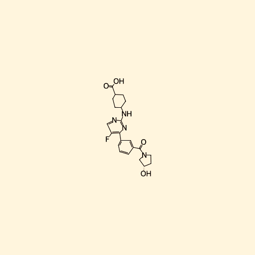 O=C(O)C1CCC(Nc2ncc(F)c(-c3cccc(C(=O)N4CC[C@H](O)C4)c3)n2)CC1